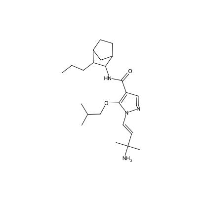 CCCC1C2CCC(C2)C1NC(=O)c1cnn(/C=C/C(C)(C)N)c1OCC(C)C